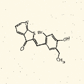 CCc1cc(/C=C2\Sc3ncccc3C2=O)c(Br)cc1O